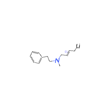 [Li][CH2]/C=C/CN(C)CCc1ccccc1